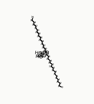 CCCCCCCCCCCCCCCCCCOCCCCCCCCCCCCCCCCCC.O=P(O)(O)O.[KH]